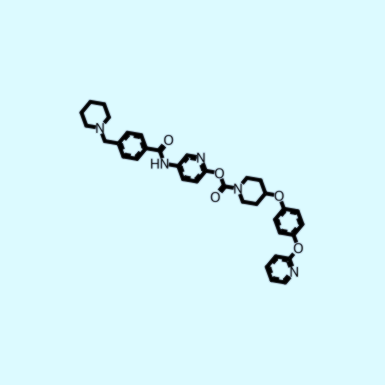 O=C(Nc1ccc(OC(=O)N2CCC(Oc3ccc(Oc4ccccn4)cc3)CC2)nc1)c1ccc(CN2CCCCC2)cc1